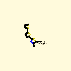 CCOC(=O)c1sc(-c2ccc(-c3cccs3)s2)nc1C